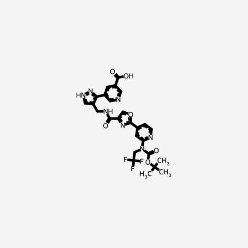 CC(C)(C)OC(=O)N(CC(F)(F)F)c1cc(-c2nc(C(=O)NCc3c[nH]nc3-c3cncc(C(=O)O)c3)co2)ccn1